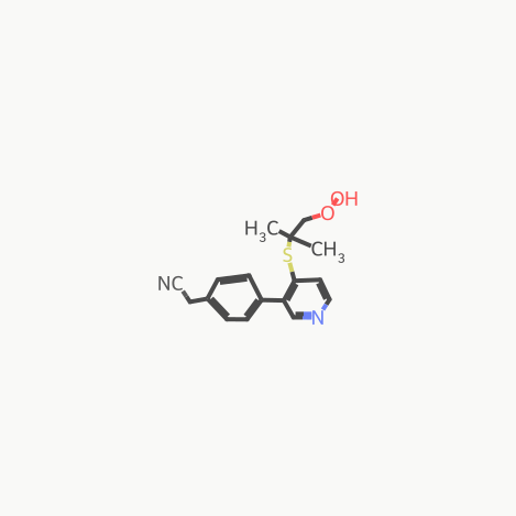 CC(C)(COO)Sc1ccncc1-c1ccc(CC#N)cc1